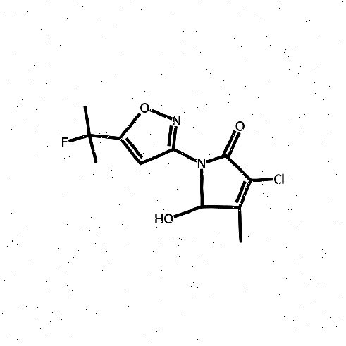 CC1=C(Cl)C(=O)N(c2cc(C(C)(C)F)on2)C1O